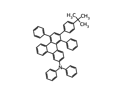 CC(C)(C)c1ccc(-c2cc(-c3ccccc3)c3c4ccccc4c4cc(N(c5ccccc5)c5ccccc5)ccc4c3c2-c2ccccc2)cc1